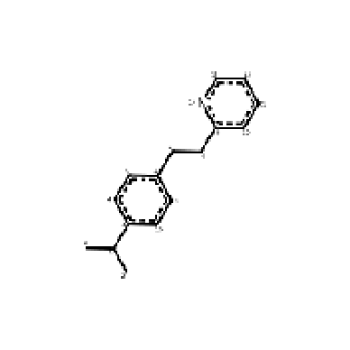 CC(C)c1ccc(CCc2ccccn2)cc1